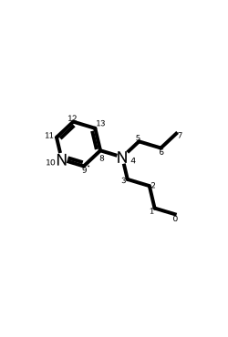 CCCCN(CCC)c1[c]nccc1